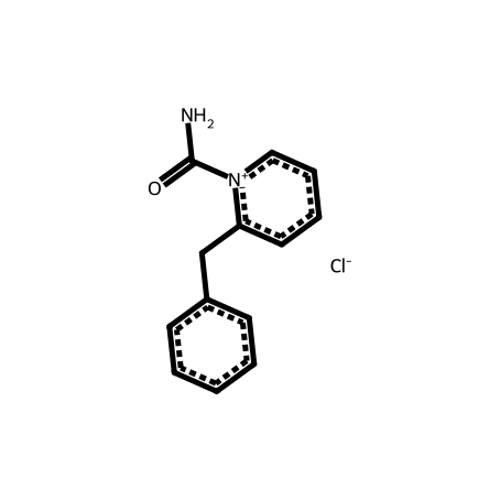 NC(=O)[n+]1ccccc1Cc1ccccc1.[Cl-]